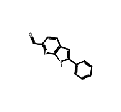 O=Cc1ccc2cc(-c3ccccc3)[nH]c2n1